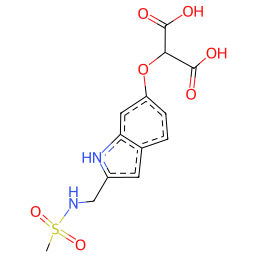 CS(=O)(=O)NCc1cc2ccc(OC(C(=O)O)C(=O)O)cc2[nH]1